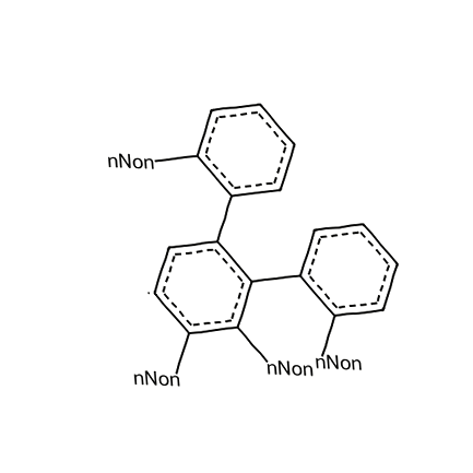 CCCCCCCCCc1[c]cc(-c2ccccc2CCCCCCCCC)c(-c2ccccc2CCCCCCCCC)c1CCCCCCCCC